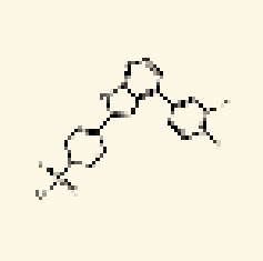 CS(=O)(=O)N1CC=C(c2cc3c(-c4ccc(F)c(Cl)c4)ccnc3[nH]2)CC1